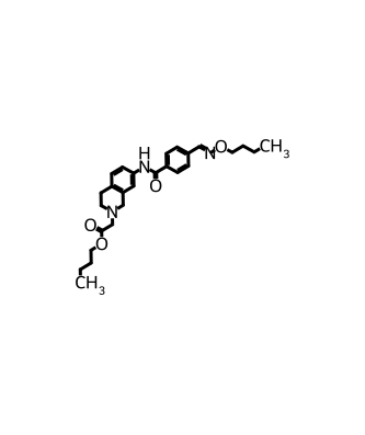 CCCCON=Cc1ccc(C(=O)Nc2ccc3c(c2)CN(CC(=O)OCCCC)CC3)cc1